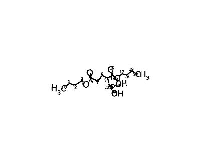 CCCCOC(=O)CCC(CP(O)O)C(=O)OCCCC